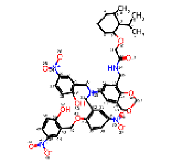 CC(C)C1C(C)CCCC1OCC(=O)NCc1cc(N(Cc2cc([N+](=O)[O-])ccc2O)Cc2cc([N+](=O)[O-])ccc2OCc2cc([N+](=O)[O-])ccc2O)cc2c1OCOC2